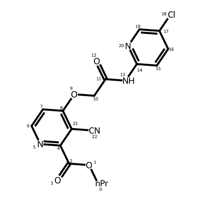 CCCOC(=O)c1nccc(OCC(=O)Nc2ccc(Cl)cn2)c1C#N